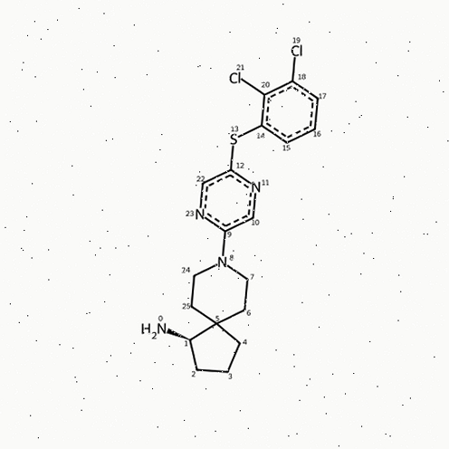 N[C@@H]1CCCC12CCN(c1cnc(Sc3cccc(Cl)c3Cl)cn1)CC2